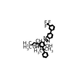 CC(C)(C)CC(C)(C)c1cc(-n2nc3ccc(-c4cccc(C(F)(F)F)c4)cc3n2)c(O)c(C(C)(C)c2ccccc2)c1